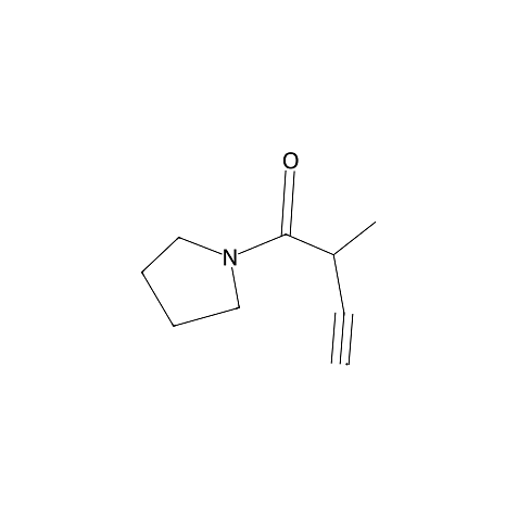 [C]#CC(C)C(=O)N1CCCC1